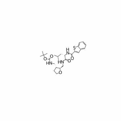 CC(C)C[C@H](NC(=O)c1cc2ccccc2s1)C(=O)NC[C@H]1OCC[C@@H]1CNC(=O)OC(C)(C)C